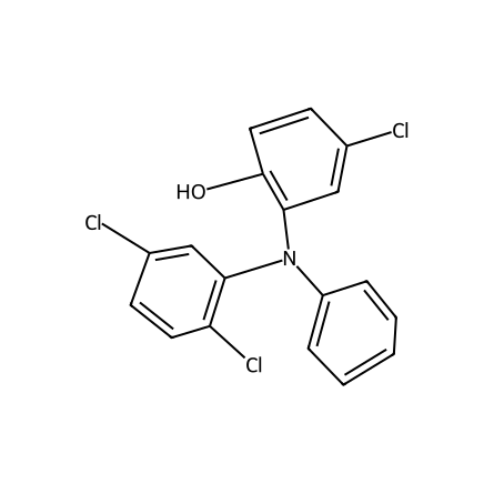 Oc1ccc(Cl)cc1N(c1ccccc1)c1cc(Cl)ccc1Cl